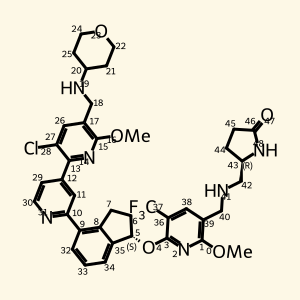 COc1nc(O[C@H]2CCc3c(-c4cc(-c5nc(OC)c(CNC6CCOCC6)cc5Cl)ccn4)cccc32)c(C(F)(F)F)cc1CNC[C@H]1CCC(=O)N1